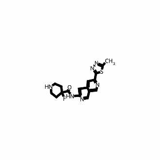 Cc1nnc(-c2cc3cc(NC(=O)C4(F)CCNCC4)ncc3cn2)s1